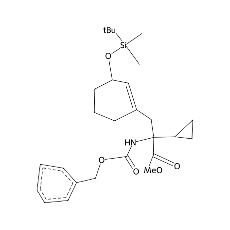 COC(=O)C(CC1=CC(O[Si](C)(C)C(C)(C)C)CCC1)(NC(=O)OCc1ccccc1)C1CC1